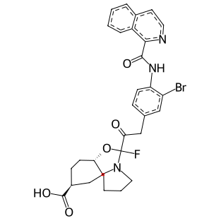 O=C(Nc1ccc(CC(=O)C(F)(O[C@H]2CC[C@H](C(=O)O)CC2)N2CCCC2)cc1Br)c1nccc2ccccc12